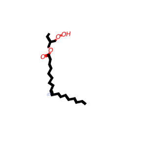 CCCCCCCC/C=C\CCCCCCCC(=O)OCC(CC)COO